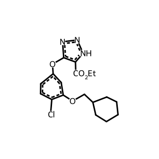 CCOC(=O)c1[nH]nnc1Oc1ccc(Cl)c(OCC2CCCCC2)c1